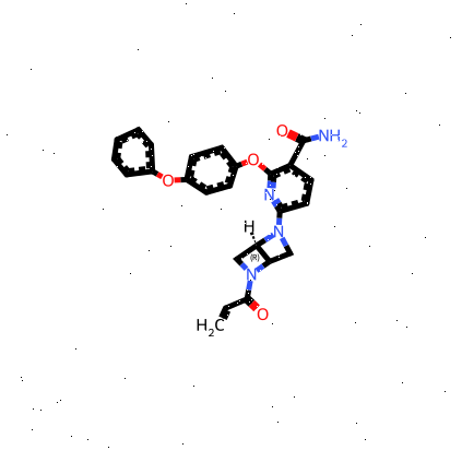 C=CC(=O)N1C[C@@H]2C1CN2c1ccc(C(N)=O)c(Oc2ccc(Oc3ccccc3)cc2)n1